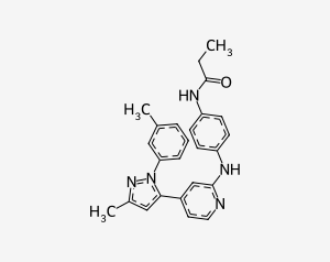 CCC(=O)Nc1ccc(Nc2cc(-c3cc(C)nn3-c3cccc(C)c3)ccn2)cc1